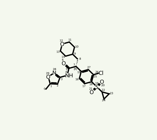 Cc1cc(NC(=O)[C@H](CC2CCOCC2)c2ccc(S(=O)(=O)C3CC3)c(Cl)c2)no1